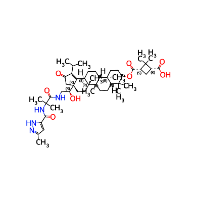 Cc1cc(C(=O)NC(C)(C)C(=O)NC[C@H](O)[C@@]23CC[C@]4(C)[C@H](CC[C@@H]5[C@@]6(C)CC[C@H](OC(=O)[C@H]7C[C@@H](C(=O)O)C7(C)C)C(C)(C)[C@@H]6CC[C@]54C)C2=C(C(C)C)C(=O)C3)[nH]n1